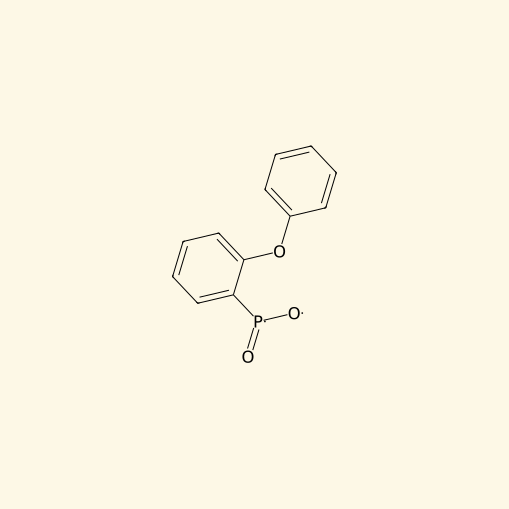 [O][P](=O)c1ccccc1Oc1ccccc1